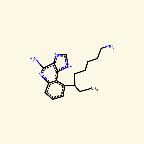 CCC(CCCCCN)c1cccc2nc(N)c3nc[nH]c3c12